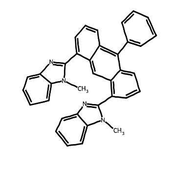 Cn1c(-c2cccc3c(-c4ccccc4)c4cccc(-c5nc6ccccc6n5C)c4cc23)nc2ccccc21